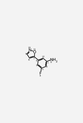 Nc1cc(F)cc(-c2ccno2)c1